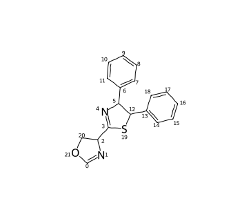 C1=NC(C2=NC(c3ccccc3)C(c3ccccc3)S2)CO1